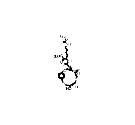 CC(C)[C@H]1COCC(O)C(O)COc2ccc(cc2)C[C@@H](NC(=O)NC(CCCCNC(=O)OC(C)(C)C)C(=O)OC(C)(C)C)C(=O)N1